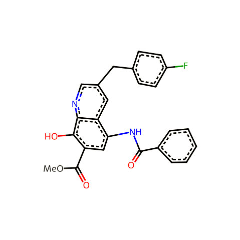 COC(=O)c1cc(NC(=O)c2ccccc2)c2cc(Cc3ccc(F)cc3)cnc2c1O